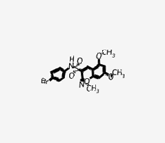 COc1cc(OC)c(C=C(C#N)S(=O)(=O)Nc2ccc(Br)cc2)c(OC)c1